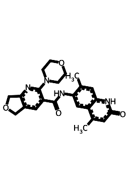 Cc1cc2[nH]c(=O)cc(C)c2cc1NC(=O)c1cc2c(nc1N1CCOCC1)COC2